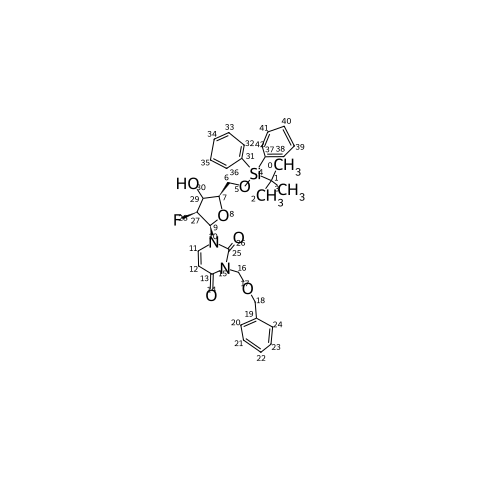 CC(C)(C)[Si](OC[C@H]1O[C@@H](n2ccc(=O)n(COCc3ccccc3)c2=O)[C@@H](F)C1O)(c1ccccc1)c1ccccc1